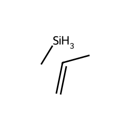 C=CC.C[SiH3]